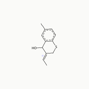 C/C=C1\CSc2ccc(C)cc2C1O